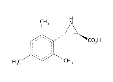 Cc1cc(C)c([C@@H]2N[C@H]2C(=O)O)c(C)c1